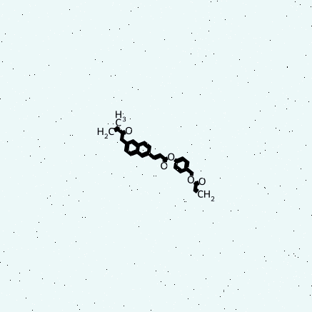 C=CC(=O)OCc1ccc(OC(=O)/C=C/c2ccc3cc(CC(=O)C(=C)C)ccc3c2)cc1